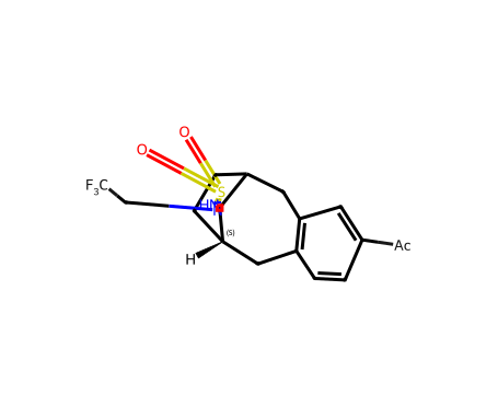 CC(=O)c1ccc2c(c1)CC1CC[C@@H](C2)C12CN(CC(F)(F)F)S(=O)(=O)N2